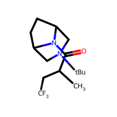 CC(CC(F)(F)F)C(=O)N1C2CCC1CN(C(C)(C)C)C2